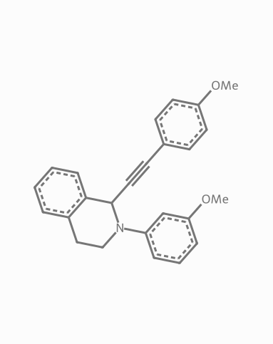 COc1ccc(C#CC2c3ccccc3CCN2c2cccc(OC)c2)cc1